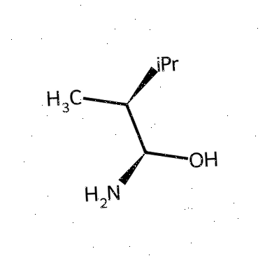 CC(C)[C@H](C)[C@H](N)O